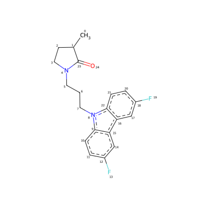 CC1CCN(CCCn2c3ccc(F)cc3c3cc(F)ccc32)C1=O